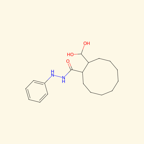 O=C(NNc1ccccc1)C1CCCCCCCCC1C(O)O